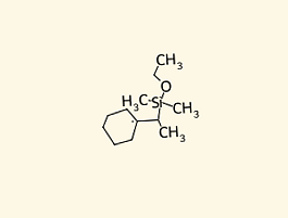 CCO[Si](C)(C)C(C)[C]1CCCCC1